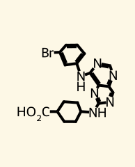 O=C(O)C1CCC(Nc2ncc3ncnc(Nc4cccc(Br)c4)c3n2)CC1